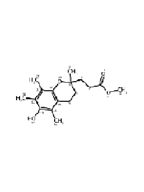 COC(=O)CCC1(C)CCc2c(C)c(O)c(C)c(C)c2O1